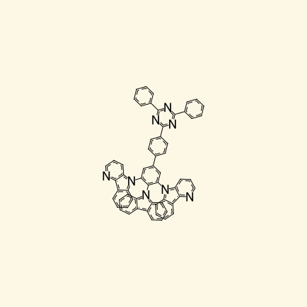 c1ccc(-c2nc(-c3ccccc3)nc(-c3ccc(-c4cc(-n5c6ccccc6c6ncccc65)c(-n5c6ccccc6c6ccccc65)c(-n5c6ccccc6c6ncccc65)c4)cc3)n2)cc1